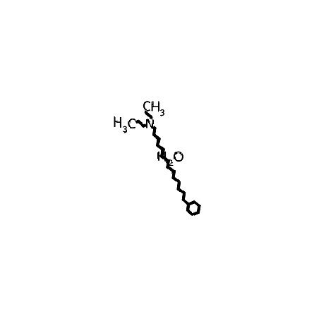 CCCN(CCC)CCCCCCCCCCCCCCC1CCCCC1.O